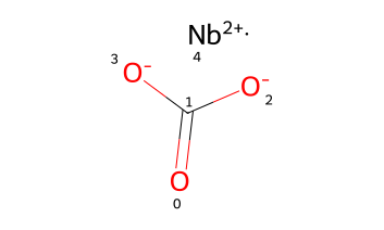 O=C([O-])[O-].[Nb+2]